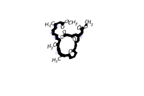 COC(=O)/C=C1\CC2CC(=O)OC(/C=C/C=C\C=C(/C)CC(=O)OC)C(C)/C=C\C(C)CC3CCCC(CC(C1)O2)O3